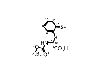 CC(C)(C)OC(=O)N[C@H](CC1=CC=CCC1=S)C(=O)O